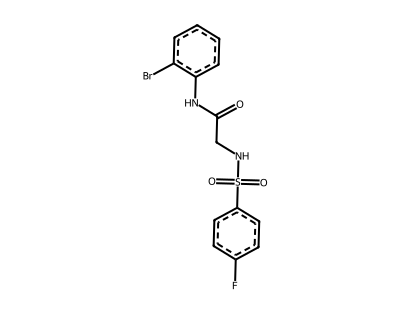 O=C(CNS(=O)(=O)c1ccc(F)cc1)Nc1ccccc1Br